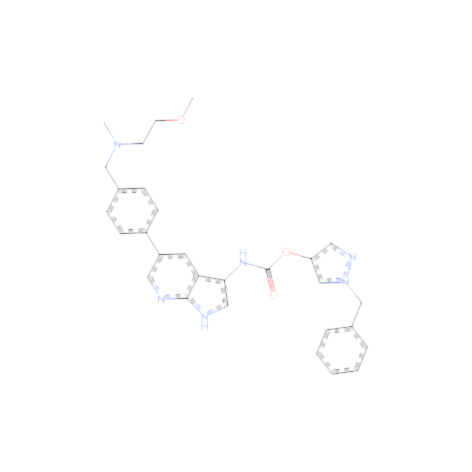 COCCN(C)Cc1ccc(-c2cnc3[nH]cc(NC(=O)Oc4cnn(Cc5ccccc5)c4)c3c2)cc1